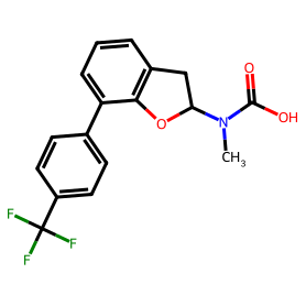 CN(C(=O)O)C1Cc2cccc(-c3ccc(C(F)(F)F)cc3)c2O1